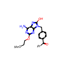 COCCOc1nc(N)c2nc(O)n(Cc3ccc(C(=O)C(C)C)cc3)c2n1